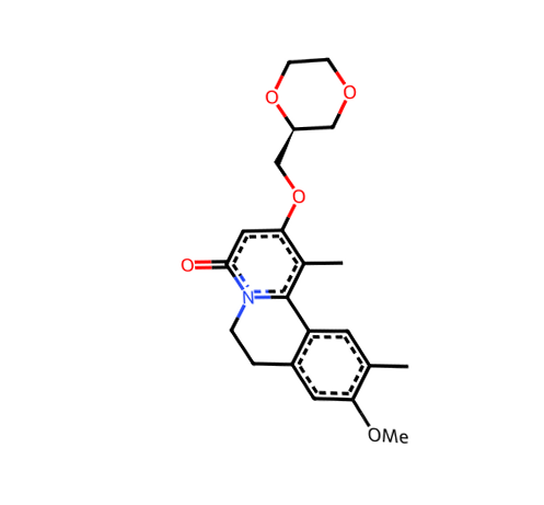 COc1cc2c(cc1C)-c1c(C)c(OC[C@@H]3COCCO3)cc(=O)n1CC2